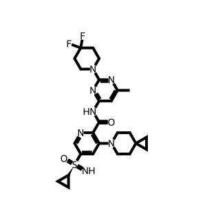 Cc1cc(NC(=O)c2ncc([S@](=N)(=O)C3CC3)cc2N2CCC3(CC2)CC3)nc(N2CCC(F)(F)CC2)n1